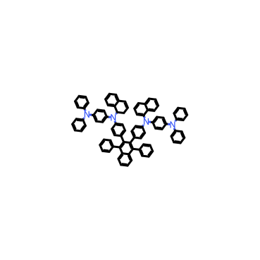 C1=Cc2ccccc2C(N(c2ccc(-c3c(-c4ccc(N(c5ccc(N(c6ccccc6)c6ccccc6)cc5)c5cccc6ccccc56)cc4)c(-c4ccccc4)c4ccccc4c3-c3ccccc3)cc2)c2ccc(N(c3ccccc3)c3ccccc3)cc2)C1